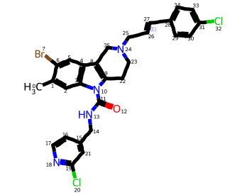 Cc1cc2c(cc1Br)c1c(n2C(=O)NCc2ccnc(Cl)c2)CCN(C/C=C/c2ccc(Cl)cc2)C1